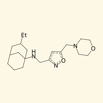 CCC1CC2CCCC(NCc3cc(CN4CCOCC4)on3)(C1)C2